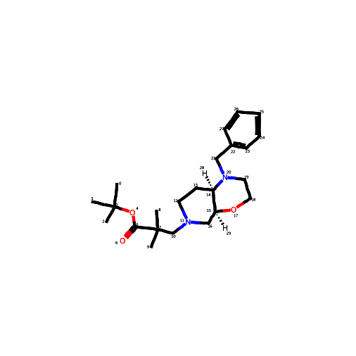 CC(C)(C)OC(=O)C(C)(C)CN1CC[C@@H]2[C@H](C1)OCCN2Cc1ccccc1